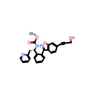 CC(C)(C)OC(=O)N[C@@H](Cc1ccccn1)c1ccccc1-c1noc2cc(C#CCO)ccc12